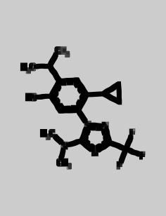 CC(C)c1cc(C2CC2)c(-n2nc(C(F)(F)F)nc2N(C)C)cc1S